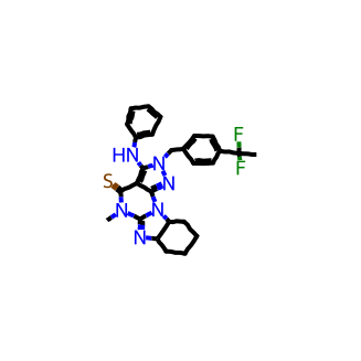 CN1C(=S)c2c(nn(Cc3ccc(C(C)(F)F)cc3)c2Nc2ccccc2)N2C1=NC1CCCCC12